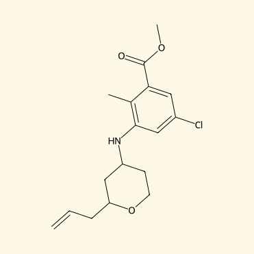 C=CCC1CC(Nc2cc(Cl)cc(C(=O)OC)c2C)CCO1